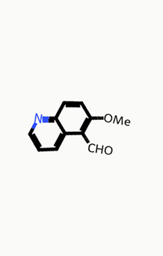 COc1ccc2ncccc2c1C=O